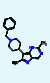 Cc1ncc2nc(C)c(C3CCN(Cc4ccccc4)CC3)c-2[nH]1